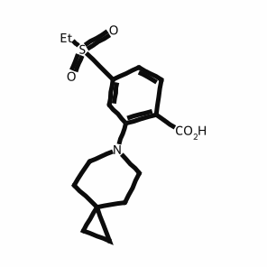 CCS(=O)(=O)c1ccc(C(=O)O)c(N2CCC3(CC2)CC3)c1